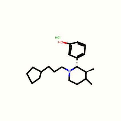 CC1CCN(CCCC2CCCC2)[C@H](c2cccc(O)c2)[C@H]1C.Cl